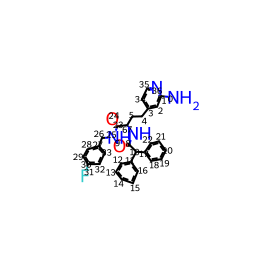 Nc1cc(CCC(NC(=O)C(c2ccccc2)c2ccccc2)C(=O)NCc2ccc(F)cc2)ccn1